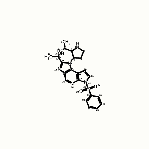 CC(C#N)C1NCCC1n1c([C@@H](C)O)nc2cnc3c(ccn3S(=O)(=O)c3ccccc3)c21